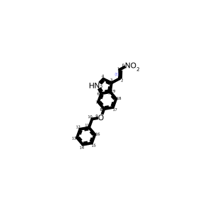 O=[N+]([O-])/C=C/c1c[nH]c2cc(OCc3ccccc3)ccc12